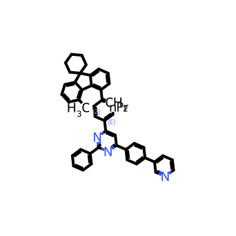 C=C(/C=C\C(=C/CCC)c1cc(-c2ccc(-c3cccnc3)cc2)nc(-c2ccccc2)n1)c1cccc2c1-c1c(C)cccc1C21CCCCC1